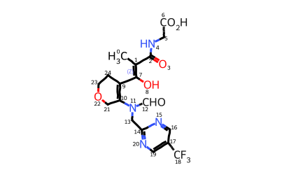 C/C(C(=O)NCC(=O)O)=C(/O)C1=C(N(C=O)Cc2ncc(C(F)(F)F)cn2)COCC1